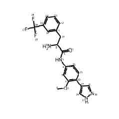 COc1cc(NC(=O)C(N)Cc2cccc(C(F)(F)F)c2)ccc1-c1cn[nH]c1